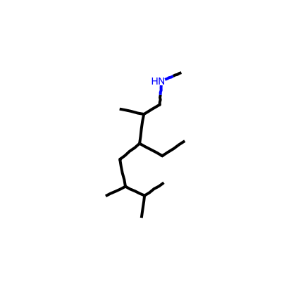 CCC(CC(C)C(C)C)C(C)CNC